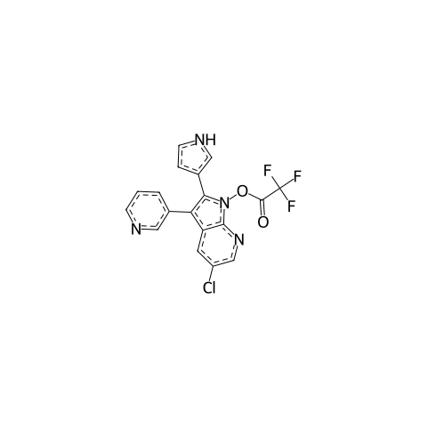 O=C(On1c(-c2cc[nH]c2)c(-c2cccnc2)c2cc(Cl)cnc21)C(F)(F)F